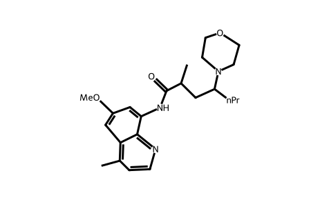 CCCC(CC(C)C(=O)Nc1cc(OC)cc2c(C)ccnc12)N1CCOCC1